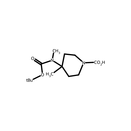 CN(C(=O)OC(C)(C)C)C1(C)CCN(C(=O)O)CC1